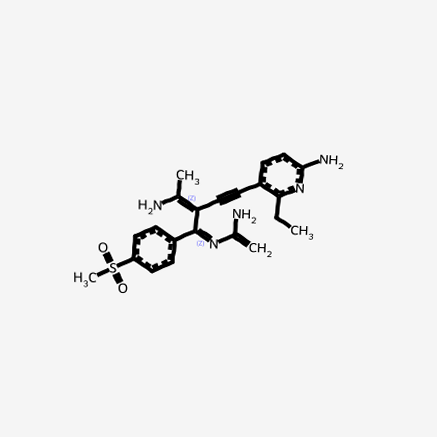 C=C(N)/N=C(\C(C#Cc1ccc(N)nc1CC)=C(\C)N)c1ccc(S(C)(=O)=O)cc1